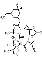 CCN1CC(CC(=O)N[C@H](C(=O)N2C[C@H]3[C@@H]([C@H]2C(=O)N[C@H](C#N)C[C@@H]2CC4(CC4)NC2=O)C3(C)C)C(C)(C)C)CC(F)(F)C1